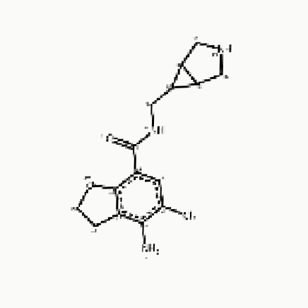 Nc1c(Cl)cc(C(=O)NCC2C3CNCC32)c2c1CCO2